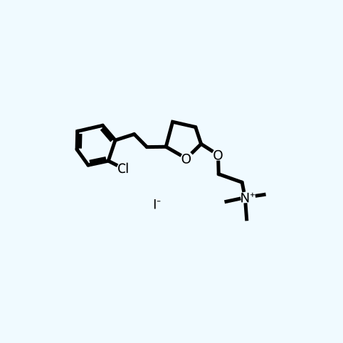 C[N+](C)(C)CCOC1CCC(CCc2ccccc2Cl)O1.[I-]